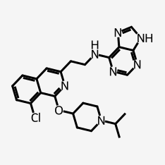 CC(C)N1CCC(Oc2nc(CCNc3ncnc4[nH]cnc34)cc3cccc(Cl)c23)CC1